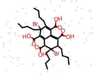 CCCCC1=C(C(=O)O)C2=C(C(=O)O)C(CCCC)C(Br)(CCCC)C(C(=O)O)C2=C(C(=O)O)C1(Br)CCCC